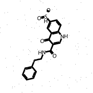 O=C(NCCc1ccccc1)c1c[nH]c2ccc([SH](=O)=O)cc2c1=O